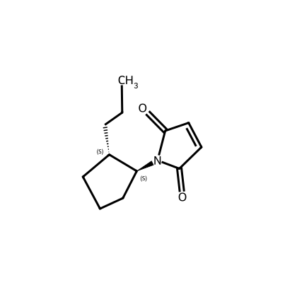 CCC[C@H]1CCC[C@@H]1N1C(=O)C=CC1=O